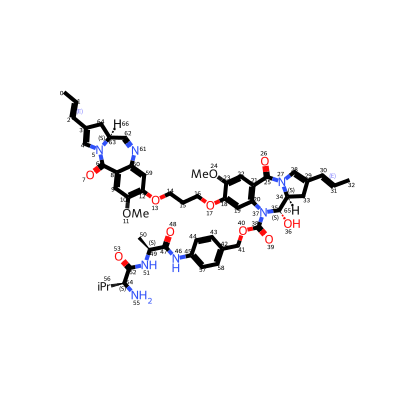 C/C=C/C1=CN2C(=O)c3cc(OC)c(OCCCOc4cc5c(cc4OC)C(=O)N4C=C(/C=C/C)C[C@H]4[C@H](O)N5C(=O)OCc4ccc(NC(=O)[C@H](C)NC(=O)[C@@H](N)C(C)C)cc4)cc3N=C[C@@H]2C1